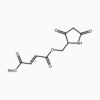 COC(=O)/C=C/C(=O)OCC1NC(=O)CC1=O